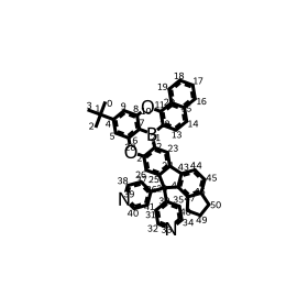 CC(C)(C)c1cc2c3c(c1)Oc1c(ccc4ccccc14)B3c1cc3c(cc1O2)C(c1ccncc1)(c1ccncc1)c1c-3ccc2c1CCC2